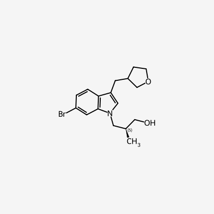 C[C@H](CO)Cn1cc(CC2CCOC2)c2ccc(Br)cc21